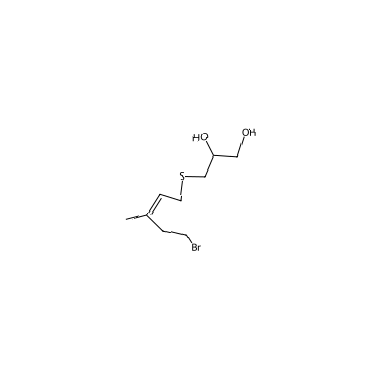 CC(=CCSCC(O)CO)CCBr